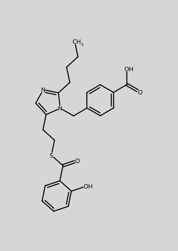 CCCCc1ncc(CCSC(=O)c2ccccc2O)n1Cc1ccc(C(=O)O)cc1